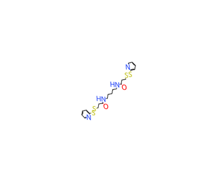 O=C(CCSSc1ccccn1)NCCCCCNC(=O)CCSSc1ccccn1